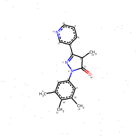 Cc1cc(N2N=C(c3cccnc3)C(C)C2=O)cc(C)c1C